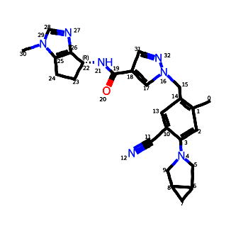 Cc1cc(N2CC3CC3C2)c(C#N)cc1Cn1cc(C(=O)N[C@@H]2CCc3c2ncn3C)cn1